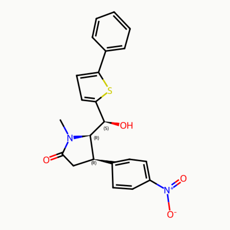 CN1C(=O)C[C@H](c2ccc([N+](=O)[O-])cc2)[C@@H]1[C@H](O)c1ccc(-c2ccccc2)s1